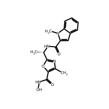 Cc1nc([C@H](C)NC(=O)c2cc3ccccc3n2C)oc1C(=O)NO